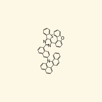 c1cc(-c2nc(-c3cccc4oc5ccccc5c34)c3sc4ccccc4c3n2)c2ccc(N3c4c(ccc5ccccc45)-c4cccc5cccc3c45)cc2c1